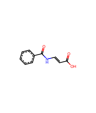 O=C(O)C=CNC(=O)c1ccccc1